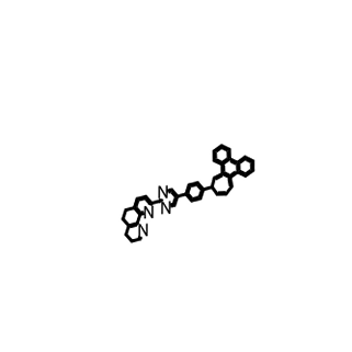 C1=CC(c2ccc(-c3cnc(-c4ccc5c(n4)C4=C(CCC=N4)CC5)nc3)cc2)C=c2c(c3ccccc3c3ccccc23)=C1